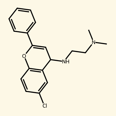 CN(C)CCNC1C=C(c2ccccc2)Oc2ccc(Cl)cc21